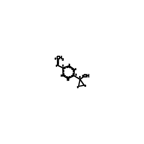 C=Cc1ccc(C2(O)CC2)cc1